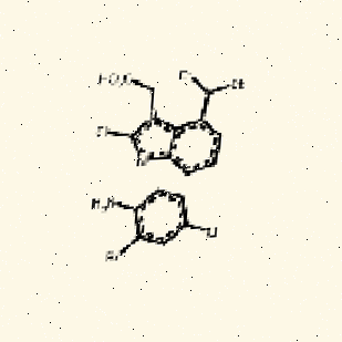 CCC(CC)c1cccc2nc(Cl)n(CC(=O)O)c12.Nc1ccc(Cl)cc1Br